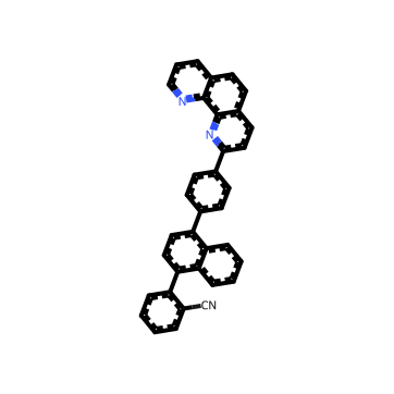 N#Cc1ccccc1-c1ccc(-c2ccc(-c3ccc4ccc5cccnc5c4n3)cc2)c2ccccc12